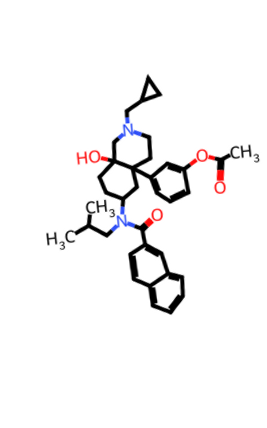 CC(=O)Oc1cccc(C23CCN(CC4CC4)CC2(O)CCC(N(CC(C)C)C(=O)c2ccc4ccccc4c2)C3)c1